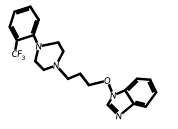 FC(F)(F)c1ccccc1N1CCN(CCCOn2cnc3ccccc32)CC1